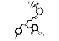 CS(=O)(=O)N1CCCC(OCCCN(Cc2ccc(F)cc2)Cc2cccc(C(F)(F)F)c2F)C1